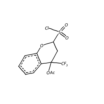 CC(=O)OC1(C(F)(F)F)CC(S(=O)(=O)Cl)Oc2ccccc21